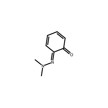 CN(C)N=C1C=CC=CC1=O